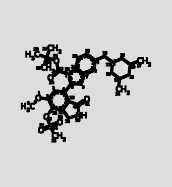 COc1cc(-c2cc3cc(CN4CC(C)CC(C)C4)ccc3n2C(=O)OC(C)(C)C)c2c(c1OS(C)(=O)=O)CNC2=O